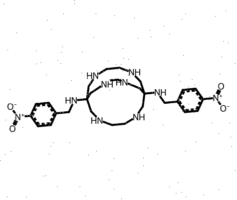 O=[N+]([O-])c1ccc(CNC23CNCCNCC(NCc4ccc([N+](=O)[O-])cc4)(CNCCNC2)CNCCNC3)cc1